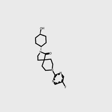 O=C1N([C@H]2CC[C@H](O)CC2)CCC12CCN(c1ncc(F)cn1)CC2